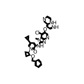 Cn1c(Nc2cc(C3CC3)cn([C@@H]3CC[C@H]3OCc3ccccc3)c2=O)nc2ncc(O/C(C=N)=C3\C=NC=CN3)c(Cl)c21